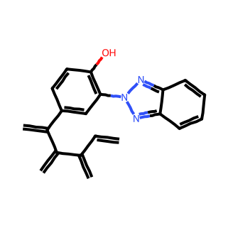 C=CC(=C)C(=C)C(=C)c1ccc(O)c(-n2nc3ccccc3n2)c1